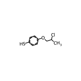 CC(Cl)COc1ccc(S)cc1